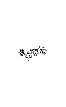 c1csc(N2CC[N]C(N3CCN(CC4OCCO4)CC3)C2)n1